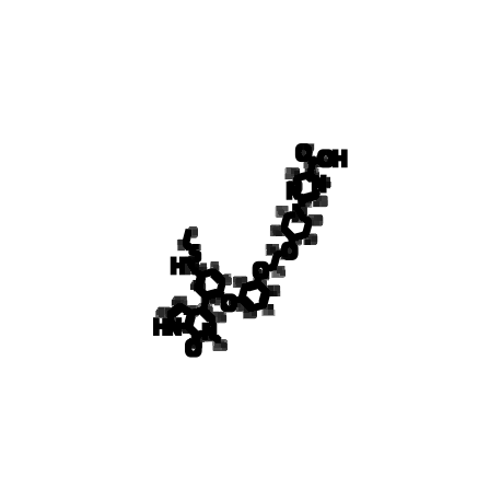 CCSNc1ccc(Oc2cccc(OCCOC3CCN(c4cnc(C(=O)O)cn4)CC3)c2)c(-c2cn(C)c(=O)c3[nH]ccc23)c1